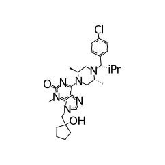 CC(C)[C@@H](c1ccc(Cl)cc1)N1C[C@H](C)N(c2nc(=O)n(C)c3c2ncn3CC2(O)CCCC2)C[C@H]1C